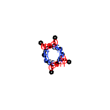 Cc1cc2c(O)c(c1)CN(CC(=O)OCc1ccccc1)Cc1cccc(n1)-c1cccc(n1)CN(CC(=O)OCc1ccccc1)Cc1cc(C)cc(c1O)CN(CC(=O)OCc1ccccc1)Cc1cccc(n1)-c1cccc(n1)CN(CC(=O)OCc1ccccc1)C2